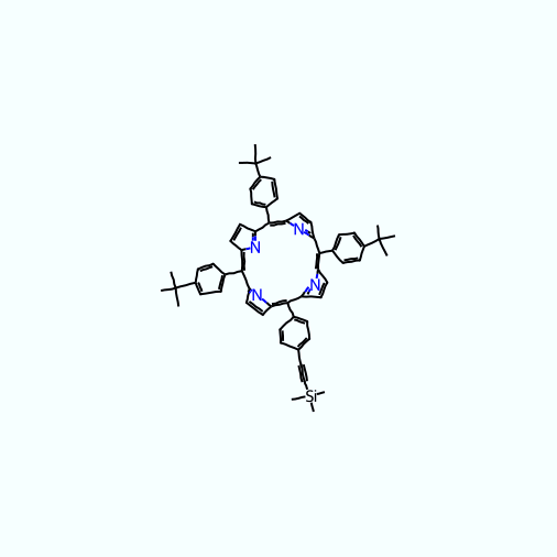 CC(C)(C)c1ccc(C2=C3C=CC(=N3)C(c3ccc(C(C)(C)C)cc3)=C3C=CC(=N3)C(c3ccc(C(C)(C)C)cc3)=C3C=CC(=N3)C(c3ccc(C#C[Si](C)(C)C)cc3)=C3C=CC2=N3)cc1